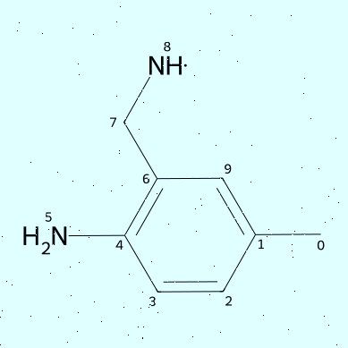 Cc1ccc(N)c(C[NH])c1